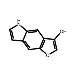 Oc1coc2cc3cc[nH]c3cc12